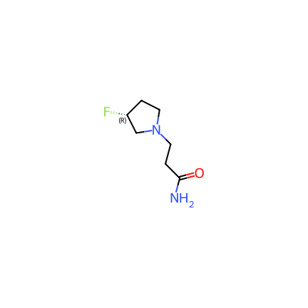 NC(=O)CCN1CC[C@@H](F)C1